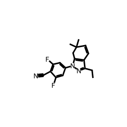 CCc1nn(-c2cc(F)c(C#N)c(F)c2)c2c1C=CC(C)(C)C2